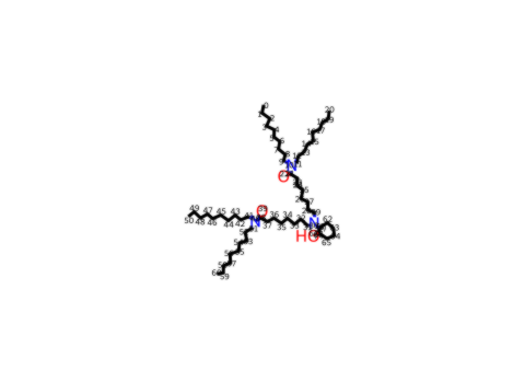 CCCCCCCCCCN(CCCCCCCCCC)C(=O)CCCCCCCN(CCCCCCCC(=O)N(CCCCCCCCCC)CCCCCCCCCC)[C@H]1CCCC[C@H]1O